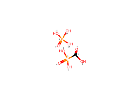 O=C(O)P(=O)(O)O.O=P(O)(O)O